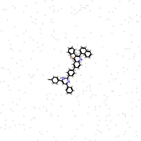 CC1CC=C(C2=CC(c3ccccc3)=NC(c3ccc(-c4ccc5nc(-c6cccc7ccccc67)c6c7ccccc7sc6c5c4)cc3)N2)CC1